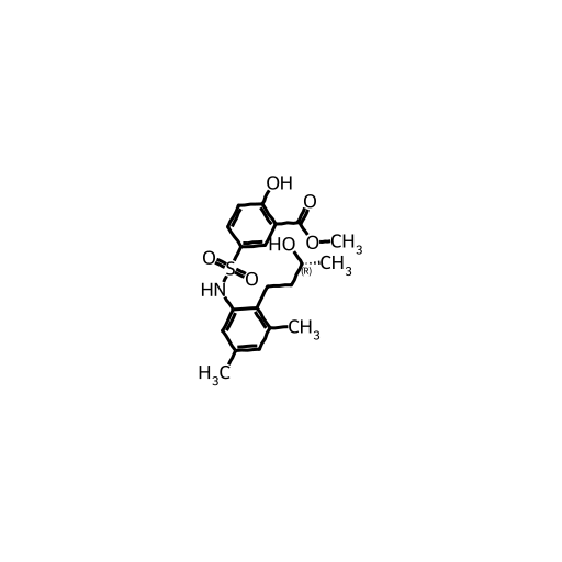 COC(=O)c1cc(S(=O)(=O)Nc2cc(C)cc(C)c2CC[C@@H](C)O)ccc1O